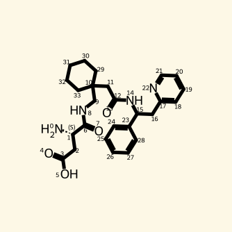 N[C@@H](CC(=O)O)C(=O)NCC1(CC(=O)NC(Cc2ccccn2)c2ccccc2)CCCCC1